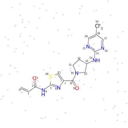 C=CC(=O)Nc1nc(C(=O)N2CCC(Nc3ncc(C(F)(F)F)cn3)C2)cs1